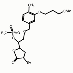 COCCCOc1cc(COCC(OS(=O)(=O)C(F)(F)F)C2CC(C(C)C)C(=O)O2)ccc1C